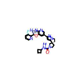 C[C@@H](Oc1cc(-c2cc3n(n2)CC[C@@]32CCN(C(=O)NC3CCC3)C2)cnc1N)c1ncccc1F